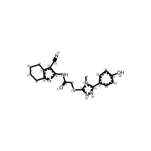 Cn1c(SCC(=O)Nc2sc3c(c2C#N)CCCC3)nnc1-c1ccc(O)cc1